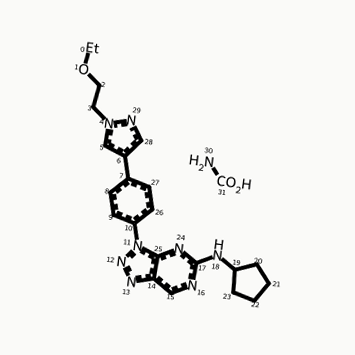 CCOCCn1cc(-c2ccc(-n3nnc4cnc(NC5CCCC5)nc43)cc2)cn1.NC(=O)O